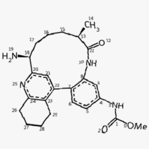 COC(=O)Nc1ccc2c(c1)NC(=O)[C@H](C)CCC[C@H](N)c1cc-2c2c(n1)CCCC2